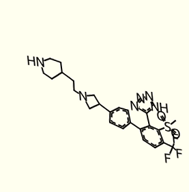 CS(=O)(=O)c1c(C(F)(F)F)ccc(-c2ccc(C3CN(CCC4CCNCC4)C3)cc2)c1-c1nnn[nH]1